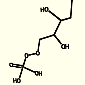 CCC(O)C(O)COOP(=O)(O)O